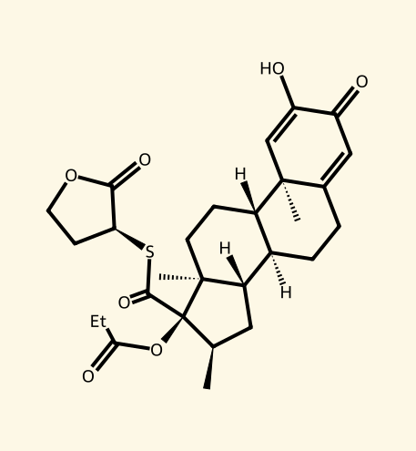 CCC(=O)O[C@]1(C(=O)S[C@H]2CCOC2=O)[C@H](C)C[C@H]2[C@@H]3CCC4=CC(=O)C(O)=C[C@]4(C)[C@H]3CC[C@@]21C